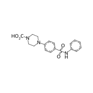 O=C(O)N1CCN(c2ccc(S(=O)(=O)Nc3ccccc3)cc2)CC1